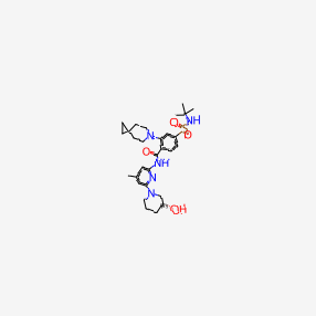 Cc1cc(NC(=O)c2ccc(S(=O)(=O)NC(C)(C)C)cc2N2CCC3(CC2)CC3)nc(N2CCC[C@@H](O)C2)c1